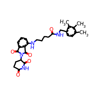 Cc1ccc(CNC(=O)CCCCNc2cccc3c2C(=O)N(C2CCC(=O)NC2=O)C3=O)c(C)c1C